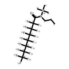 CCCN(C(=O)C(F)(F)C(F)(F)C(F)(F)C(F)(F)C(F)(F)C(F)(F)C(F)(F)F)[N+](C)(C)C